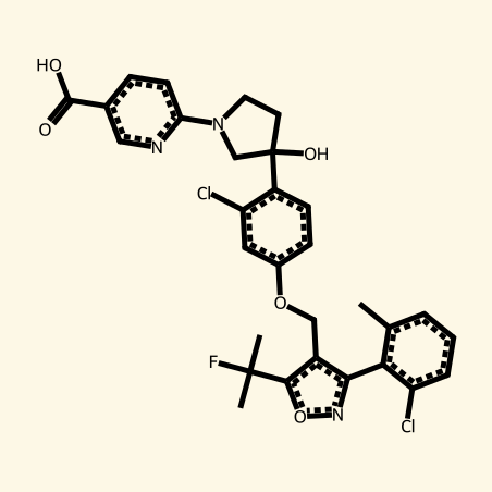 Cc1cccc(Cl)c1-c1noc(C(C)(C)F)c1COc1ccc(C2(O)CCN(c3ccc(C(=O)O)cn3)C2)c(Cl)c1